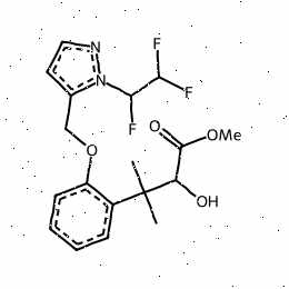 COC(=O)C(O)C(C)(C)c1ccccc1OCc1ccnn1C(F)C(F)F